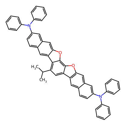 CC(C)c1cc2c3cc4ccc(N(c5ccccc5)c5ccccc5)cc4cc3oc2c2oc3cc4cc(N(c5ccccc5)c5ccccc5)ccc4cc3c12